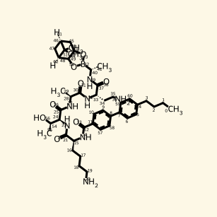 CCCCc1ccc(-c2ccc(C(=O)N[C@@H](CCCCN)C(=O)N[C@H](C(=O)N[C@@H](C)C(=O)N[C@@H](CCN)C(=O)N[C@@H](C)B3OC4C[C@@H]5C[C@H](C4O3)C5(C)C)[C@@H](C)O)cc2)cc1